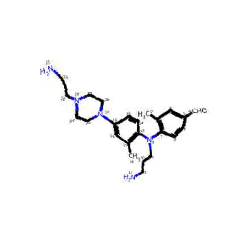 Cc1cc(C=O)ccc1N(CCCN)c1ccc(N2CCN(CCN)CC2)cc1C